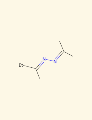 CCC(C)=NN=C(C)C